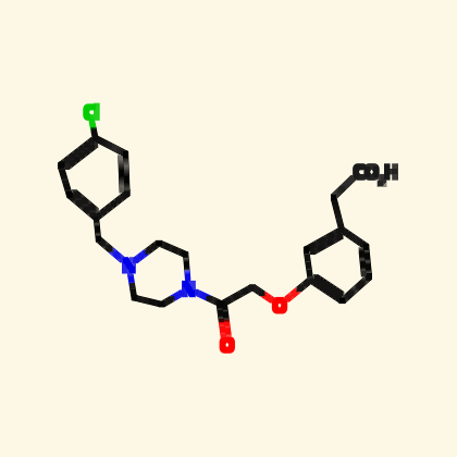 O=C(O)Cc1cccc(OCC(=O)N2CCN(Cc3ccc(Cl)cc3)CC2)c1